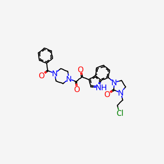 O=C(C(=O)N1CCN(C(=O)c2ccccc2)CC1)c1c[nH]c2c(N3CCN(CCCl)C3=O)cccc12